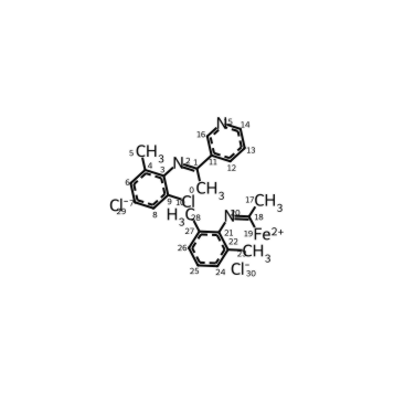 CC(=Nc1c(C)cccc1Cl)c1cccnc1.C[C]([Fe+2])=Nc1c(C)cccc1C.[Cl-].[Cl-]